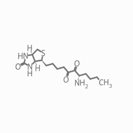 CCCC[C@H](N)C(=O)C(=O)CCCC[C@@H]1SC[C@@H]2NC(=O)N[C@@H]21